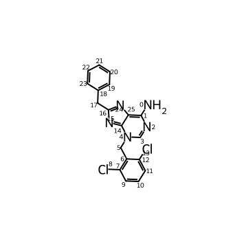 Nc1ncn(Cc2c(Cl)cccc2Cl)c2nc(Cc3ccccc3)nc1-2